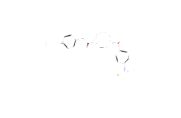 O=C(Cc1ccc(C(F)(F)F)cc1)N1CCCN(C(=O)c2ccc(N[SH](=O)=O)cc2)CC1